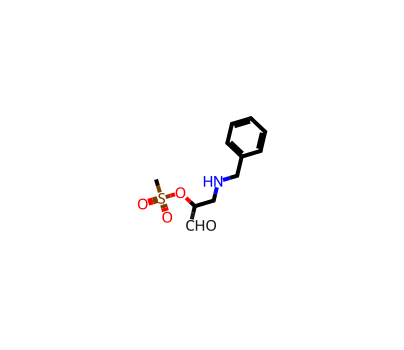 CS(=O)(=O)OC(C=O)CNCc1ccccc1